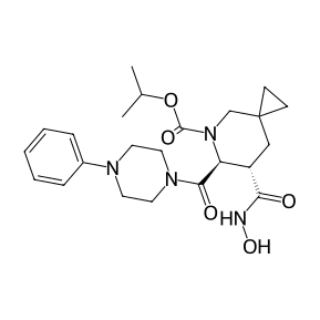 CC(C)OC(=O)N1CC2(CC2)C[C@H](C(=O)NO)[C@H]1C(=O)N1CCN(c2ccccc2)CC1